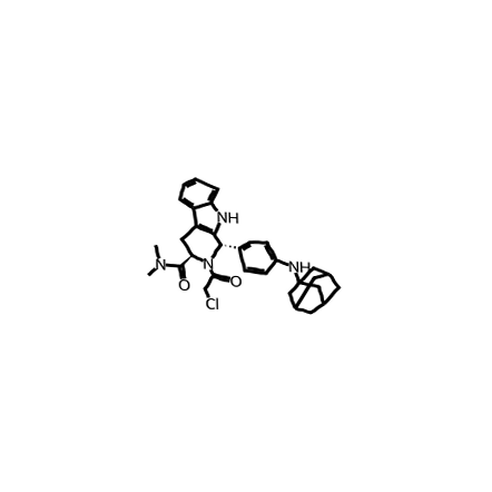 CN(C)C(=O)[C@H]1Cc2c([nH]c3ccccc23)[C@H](c2ccc(NC34CC5CC(CC(C5)C3)C4)cc2)N1C(=O)CCl